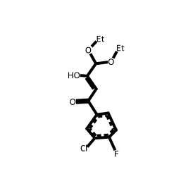 CCOC(OCC)C(O)=CC(=O)c1ccc(F)c(Cl)c1